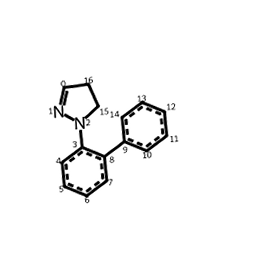 C1=NN(c2ccccc2-c2ccccc2)CC1